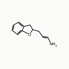 NC=CCC1Cc2ccccc2O1